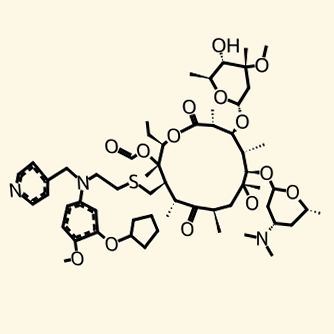 CC[C@H]1OC(=O)[C@H](C)[C@@H](O[C@H]2C[C@@](C)(OC)[C@@H](O)[C@H](C)O2)[C@H](C)[C@@H](OC2C[C@@H](N(C)C)C[C@@H](C)O2)[C@](C)(OC)C[C@@H](C)C(=O)[C@H](C)[C@@H](CSCCN(Cc2ccncc2)c2ccc(OC)c(OC3CCCC3)c2)[C@]1(C)OC=O